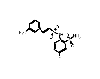 NS(=O)(=O)c1cc(F)ccc1NS(=O)(=O)C=Cc1cccc(C(F)(F)F)c1